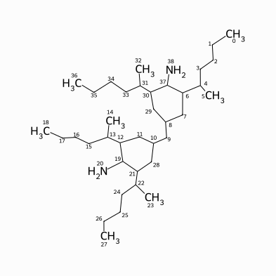 CCCCC(C)C1CC(CC2CC(C(C)CCCC)C(N)C(C(C)CCCC)C2)CC(C(C)CCCC)C1N